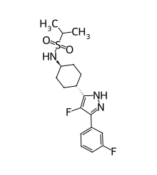 CC(C)S(=O)(=O)N[C@H]1CC[C@H](c2[nH]nc(-c3cccc(F)c3)c2F)CC1